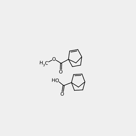 COC(=O)C12C=CC(CC1)C2.O=C(O)C12C=CC(CC1)C2